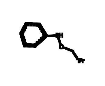 CC(C)COBc1ccccc1